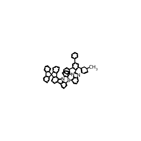 CC1C=CC=C(c2cc(-c3ccccc3)cc(-c3ccccc3)c2-c2nc3cccc4c3n2-c2cccc3c2B4c2cccc4c5ccc6c(c5n-3c24)-c2ccccc2C62c3ccccc3-c3ccccc32)C1